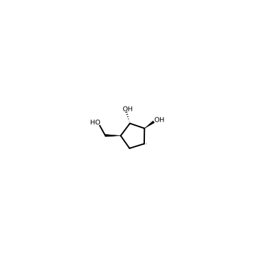 OC[C@@H]1C[CH][C@H](O)[C@H]1O